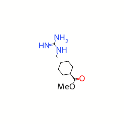 COC(=O)[C@H]1CC[C@H](CNC(=N)N)CC1